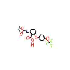 CC(C)(C)OC(=O)/C=C/c1cccc(Oc2ccc(OC(F)(F)F)cc2)c1C(=O)O